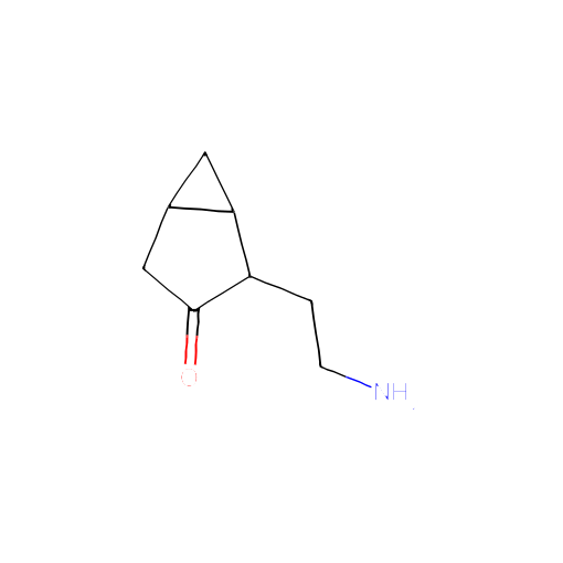 NCCC1C(=O)CC2CC21